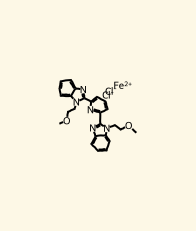 COCCn1c(-c2cccc(-c3nc4ccccc4n3CCOC)n2)nc2ccccc21.[Cl-].[Cl-].[Fe+2]